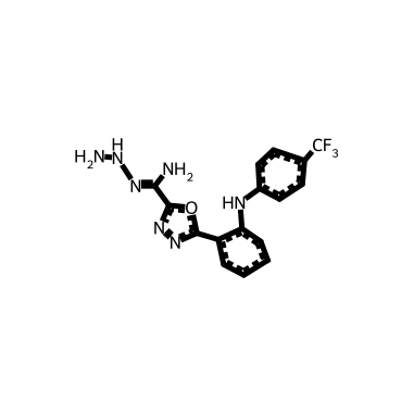 NN/N=C(\N)c1nnc(-c2ccccc2Nc2ccc(C(F)(F)F)cc2)o1